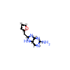 Nc1ncc2[nH]c(Cc3ccco3)nc2n1